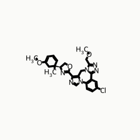 COCc1nnc2n1Cc1c(C3=N[C@@H](C4(C)C=CC=C(OC)C4)CO3)ncn1-c1ccc(Cl)cc1-2